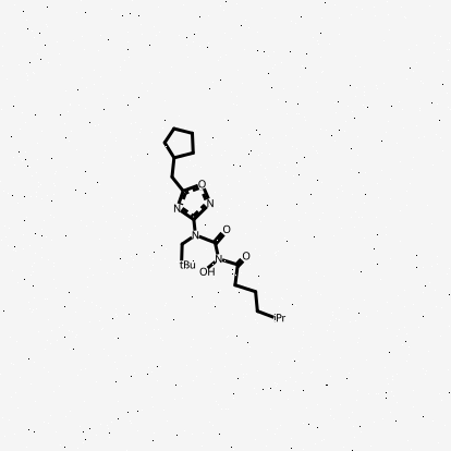 CC(C)CCCC(=O)N(O)C(=O)N(CC(C)(C)C)c1noc(CC2CCCC2)n1